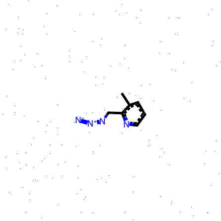 Cc1cccnc1CN=[N+]=[N-]